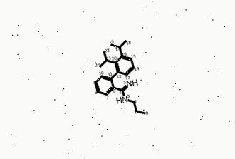 CCCNC(=N)c1ccccc1-c1cccc(C(C)C)c1C(C)C